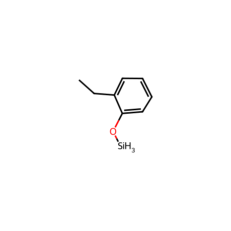 CCc1ccccc1O[SiH3]